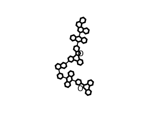 c1cc(-c2cccc3cc(-c4ccc5c(c4)c4ccccc4c4oc6cc(-c7c8ccccc8c(-c8cc9ccc%10ccccc%10c9c9ccccc89)c8ccccc78)ccc6c54)ccc23)cc(-c2c3ccccc3c(-c3ccc4c(c3)oc3c5ccccc5c5ccccc5c43)c3ccccc23)c1